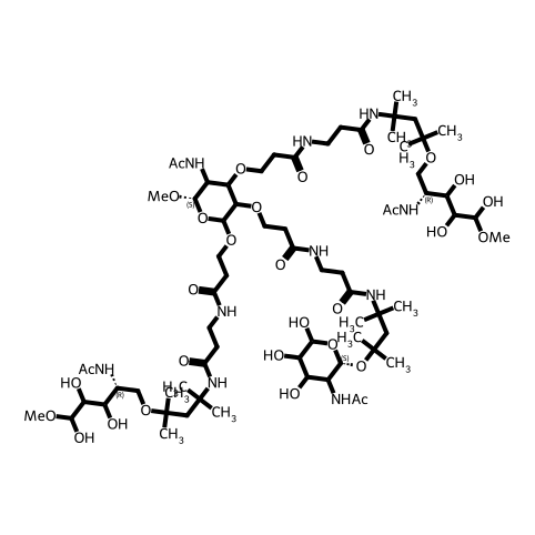 COC(O)C(O)C(O)[C@@H](COC(C)(C)CC(C)(C)NC(=O)CCNC(=O)CCOC1O[C@H](OC)C(NC(C)=O)C(OCCC(=O)NCCC(=O)NC(C)(C)CC(C)(C)OC[C@@H](NC(C)=O)C(O)C(O)C(O)OC)C1OCCC(=O)NCCC(=O)NC(C)(C)CC(C)(C)O[C@H]1OC(O)C(O)C(O)C1NC(C)=O)NC(C)=O